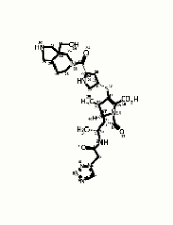 C[C@@H](NC(=O)Cn1cnnn1)[C@H]1C(=O)N2C(C(=O)O)=C(S[C@@H]3CN[C@H](C(=O)N4CCC5CNCC5(CO)C4)C3)[C@H](C)[C@H]12